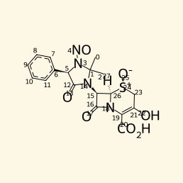 CC1(C)N(N=O)[C@H](c2ccccc2)C(=O)N1[C@@H]1C(=O)N2C(C(=O)O)=C(O)C[S@+]([O-])[C@H]12